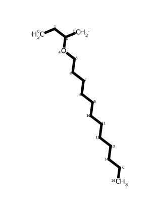 [CH2]CC([CH2])OCCCCCCCCCCCC